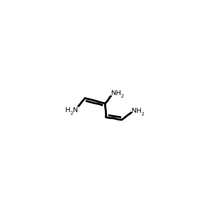 N/C=C\C(N)=C/N